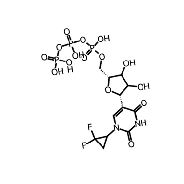 O=c1[nH]c(=O)n(C2CC2(F)F)cc1[C@@H]1O[C@H](COP(=O)(O)OP(=O)(O)OP(=O)(O)O)C(O)C1O